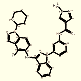 Cn1cc(C(=O)Nc2cc(-n3nc(Nc4ccc5c(cnn5C5CCCCO5)c4Cl)c4ccccc43)ccn2)cn1